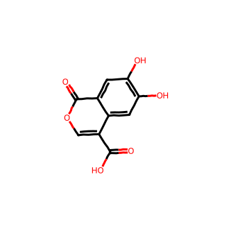 O=C(O)c1coc(=O)c2cc(O)c(O)cc12